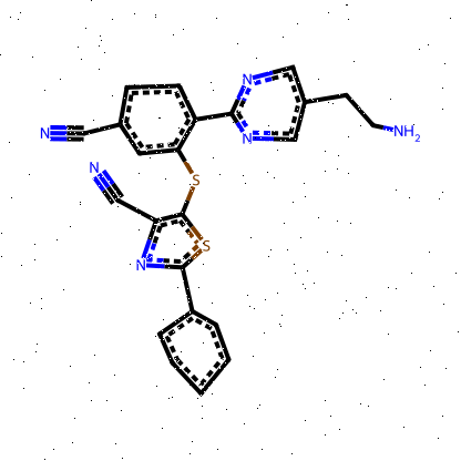 N#Cc1ccc(-c2ncc(CCN)cn2)c(Sc2sc(-c3ccccc3)nc2C#N)c1